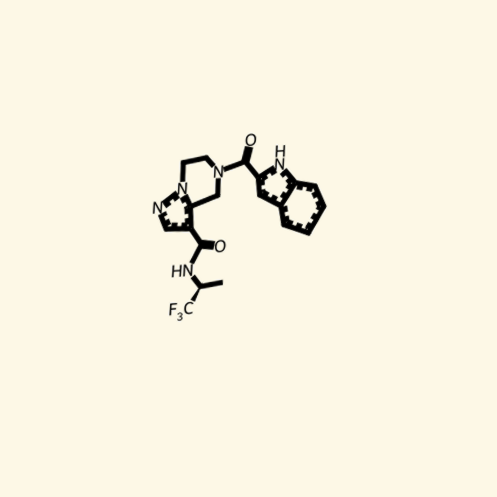 C[C@H](NC(=O)c1cnn2c1CN(C(=O)c1cc3ccccc3[nH]1)CC2)C(F)(F)F